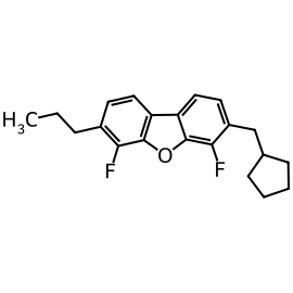 CCCc1ccc2c(oc3c(F)c(CC4CCCC4)ccc32)c1F